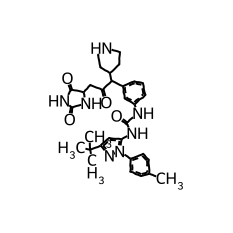 Cc1ccc(-n2nc(C(C)(C)C)cc2NC(=O)Nc2cccc(C(C(=O)CC3NC(=O)NC3=O)C3CCNCC3)c2)cc1